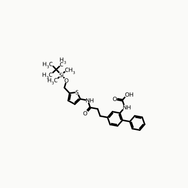 CC(C)(C)[Si](C)(C)OCc1ccc(NC(=O)CCc2ccc(-c3ccccc3)c(NC(=O)O)c2)s1